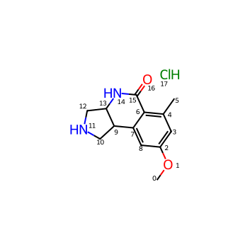 COc1cc(C)c2c(c1)C1CNCC1NC2=O.Cl